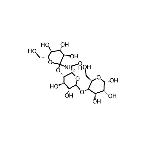 NC1(O[C@H]2[C@H](O)[C@@H](O)C(O[C@H]3[C@H](O)[C@@H](O)[C@@H](O)O[C@@H]3CO)O[C@@H]2CO)O[C@H](CO)[C@@H](O)[C@H](O)[C@H]1O